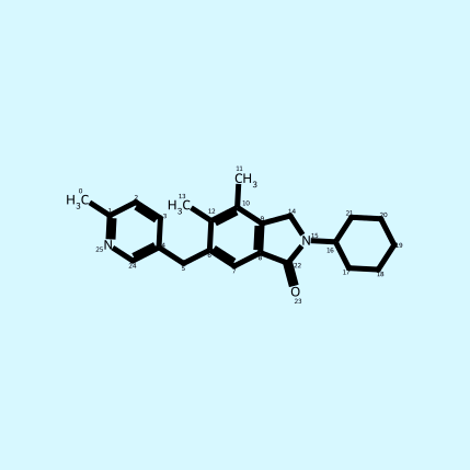 Cc1ccc(Cc2cc3c(c(C)c2C)CN(C2CCCCC2)C3=O)cn1